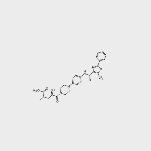 COC(=O)C(C)CC(=N)C(=O)N1CCN(c2ccc(NC(=O)c3nc(-c4ccccc4)oc3C(F)(F)F)cc2)CC1